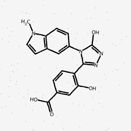 Cn1ccc2cc(-n3c(O)nnc3-c3ccc(C(=O)O)cc3O)ccc21